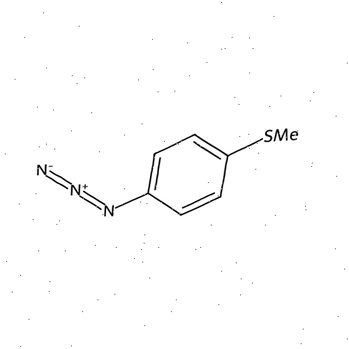 CSc1ccc(N=[N+]=[N-])cc1